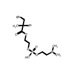 CC(C)C(C)(CC(C)(C)C)C(=O)OCCOP(=O)(O)OCCN(C)C